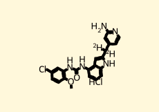 Cl.[2H]C([2H])(c1ccnc(N)c1)c1cc2c(NC(=O)Nc3cc(Cl)ccc3OC)cccc2[nH]1